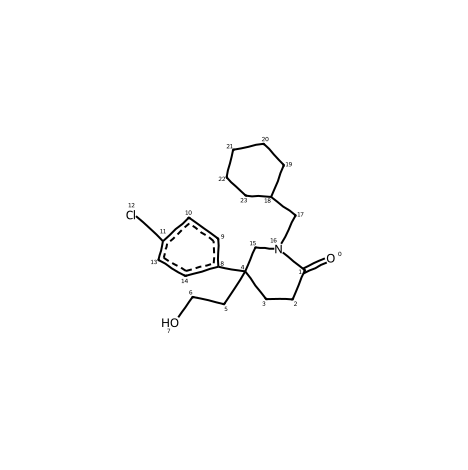 O=C1CCC(CCO)(c2ccc(Cl)cc2)CN1CC1CCCCC1